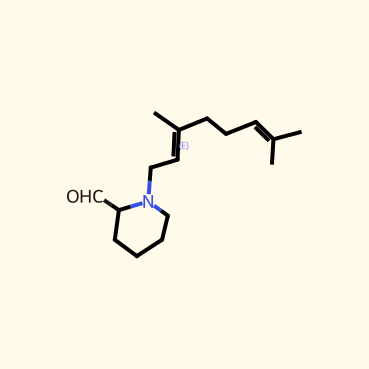 CC(C)=CCC/C(C)=C/CN1CCCCC1C=O